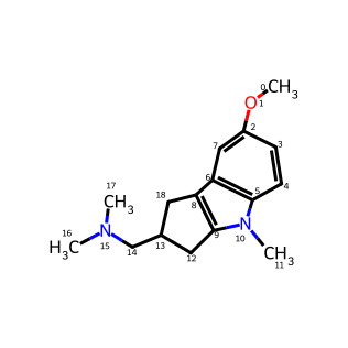 COc1ccc2c(c1)c1c(n2C)CC(CN(C)C)C1